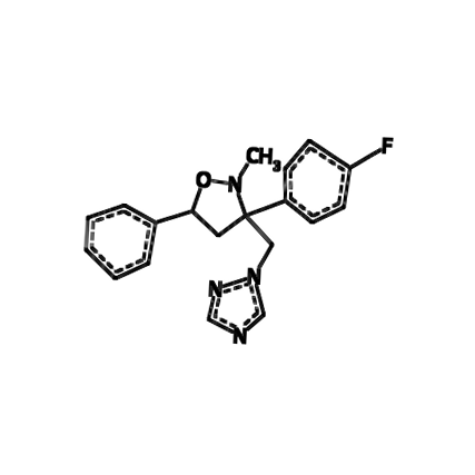 CN1OC(c2ccccc2)CC1(Cn1cncn1)c1ccc(F)cc1